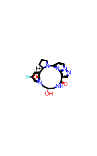 O=C1NC[C@H](O)Cn2cc(F)cc(c2=O)[C@H]2CCCN2c2ccn3ncc1c3n2